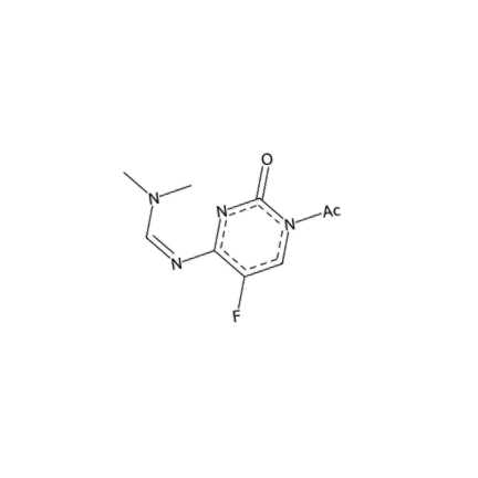 CC(=O)n1cc(F)c(/N=C\N(C)C)nc1=O